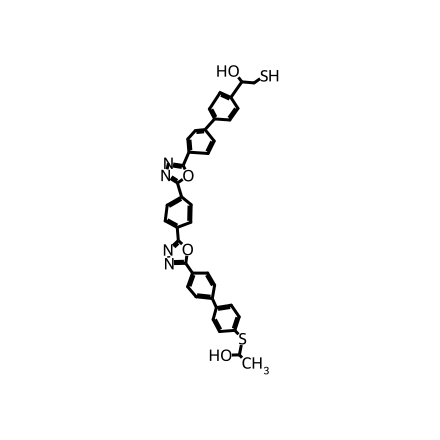 CC(O)Sc1ccc(-c2ccc(-c3nnc(-c4ccc(-c5nnc(-c6ccc(-c7ccc(C(O)CS)cc7)cc6)o5)cc4)o3)cc2)cc1